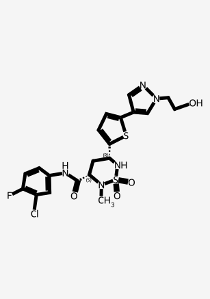 CN1[C@H](C(=O)Nc2ccc(F)c(Cl)c2)C[C@H](c2ccc(-c3cnn(CCO)c3)s2)NS1(=O)=O